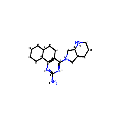 Nc1nc2c(c(N3CC4CCCNC4C3)n1)CCC1CCCCC21